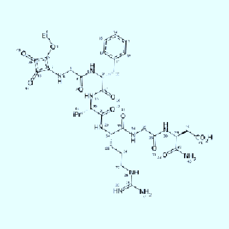 CCOc1c(NCC(=O)N[C@H](Cc2ccccc2)C(=O)N[C@H](C(=O)N[C@@H](CCCNC(=N)N)C(=O)NCC(=O)N[C@@H](CC(=O)O)C(N)=O)C(C)C)c(=O)c1=O